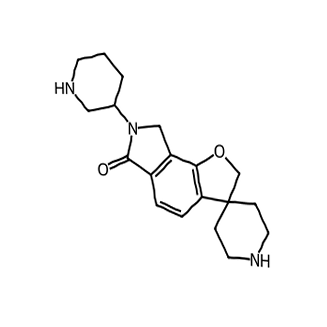 O=C1c2ccc3c(c2CN1C1CCCNC1)OCC31CCNCC1